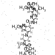 Cc1cn2cc(NC(=O)c3ccc(N4CCC(N(C(=O)OC(C)(C)C)C5CC5)CC4)c4cn(C)nc34)nc2c(CN(C)S(C)(=O)=O)n1